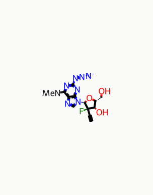 C#C[C@@]1(F)[C@H](O)[C@@H](CO)O[C@H]1n1cnc2c(NC)nc(N=[N+]=[N-])nc21